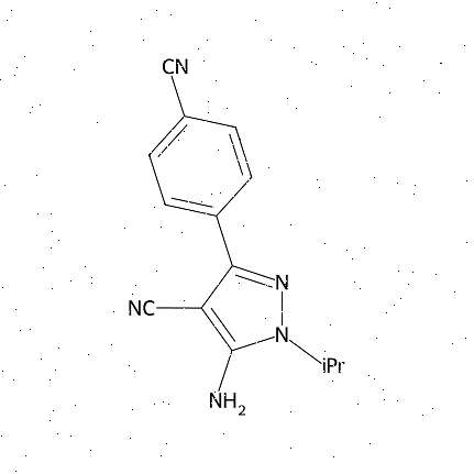 CC(C)n1nc(-c2ccc(C#N)cc2)c(C#N)c1N